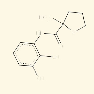 Cc1cccc(NC(=O)C2(C(=O)O)CCCO2)c1C